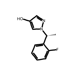 C[C@H](c1ccccc1F)n1cc(O)cn1